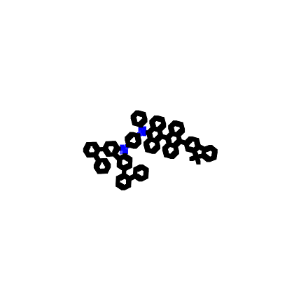 CC1(C)c2ccccc2-c2ccc(-c3c4ccccc4c(-c4c5ccccc5c(N(c5ccccc5)c5ccc(-n6c7ccc(-c8ccccc8-c8ccccc8)cc7c7cc(-c8ccccc8-c8ccccc8)ccc76)cc5)c5ccccc45)c4ccccc34)cc21